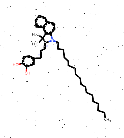 CCCCCCCCCCCCCCCCCCN1/C(=C/C=C/c2ccc(O)c(O)c2)C(C)(C)c2c1ccc1ccccc21